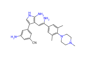 Cc1cc(/C(N)=C/c2c(-c3cc(N)cc(C#N)c3)c[nH]c2N)cc(C)c1N1CCN(C)CC1